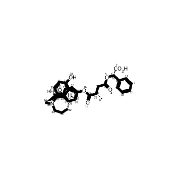 C[C@@H](CC(=O)O[C@H](C(=O)O)c1ccccc1)C(=O)OC1=CC[C@@]2(O)[C@H]3Cc4ccc(O)c5c4[C@@]2(CCCN3C)[C@H]1O5